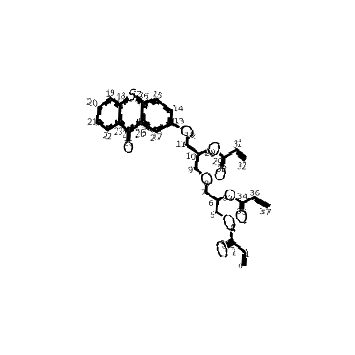 C=CC(=O)OCC(COCC(COc1ccc2sc3ccccc3c(=O)c2c1)OC(=O)C=C)OC(=O)C=C